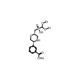 CCOC(OCC)P(=O)(O)C[C@H]1CN[C@@H](c2cccc(C(=O)OC)c2)CO1